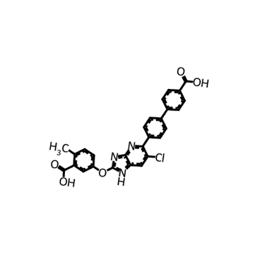 Cc1ccc(Oc2nc3nc(-c4ccc(-c5ccc(C(=O)O)cc5)cc4)c(Cl)cc3[nH]2)cc1C(=O)O